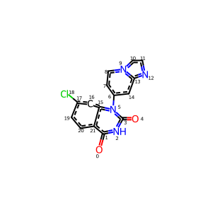 O=c1[nH]c(=O)n(-c2ccn3ccnc3c2)c2cc(Cl)ccc12